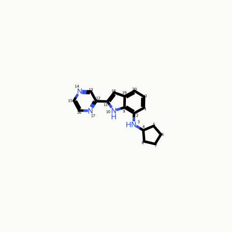 c1cc(NC2CCCC2)c2[nH]c(-c3cnccn3)cc2c1